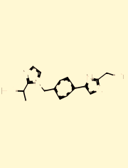 CC(C)Cc1nc(-c2ccc(Cn3ccnc3C(C)O)cc2)cs1